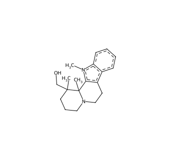 Cn1c2c(c3ccccc31)CCN1CCCC(C)(CO)C21C